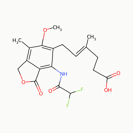 COc1c(C)c2c(c(NC(=O)C(F)F)c1C/C=C(\C)CCC(=O)O)C(=O)OC2